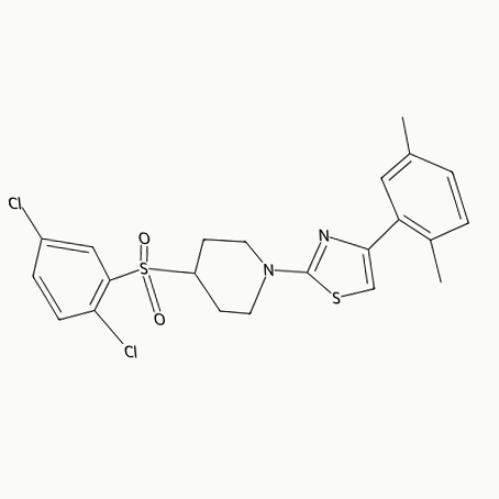 Cc1ccc(C)c(-c2csc(N3CCC(S(=O)(=O)c4cc(Cl)ccc4Cl)CC3)n2)c1